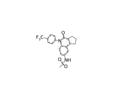 CS(=O)(=O)Nc1ccc2c(c1)c1c(c(=O)n2-c2ccc(C(F)(F)F)cc2)CCC1